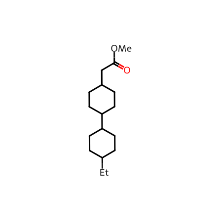 CCC1CCC(C2CCC(CC(=O)OC)CC2)CC1